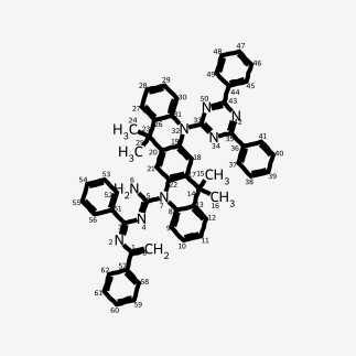 C=C(/N=C(\N=C(/N)N1c2ccccc2C(C)(C)c2cc3c(cc21)C(C)(C)c1ccccc1N3c1nc(-c2ccccc2)nc(-c2ccccc2)n1)c1ccccc1)c1ccccc1